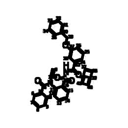 C#CN(C(=O)c1ccccc1)c1ccccc1S(=O)(=O)NC(=O)c1cccc(OCc2ccccc2)c1.c1cc2ccc1-2